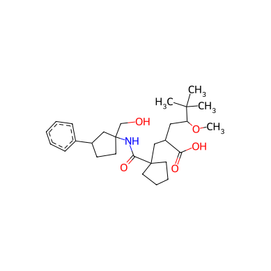 COC(CC(CC1(C(=O)NC2(CO)CCC(c3ccccc3)C2)CCCC1)C(=O)O)C(C)(C)C